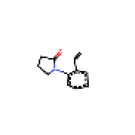 C=Cc1ccccc1N1CCCC1=O